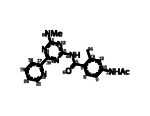 CNc1nc(NC(=O)c2ccc(NC(C)=O)cc2C)nc(-c2ccccn2)n1